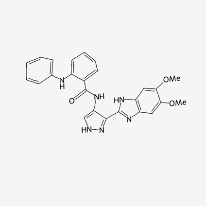 COc1cc2nc(-c3n[nH]cc3NC(=O)c3ccccc3Nc3ccccc3)[nH]c2cc1OC